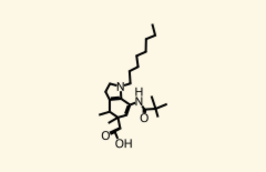 CCCCCCCCN1CCC2=C1C(NC(=O)C(C)(C)C)=CC(C)(CC(=O)O)C2C